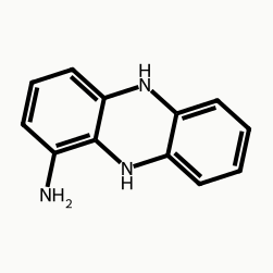 Nc1cccc2c1Nc1ccccc1N2